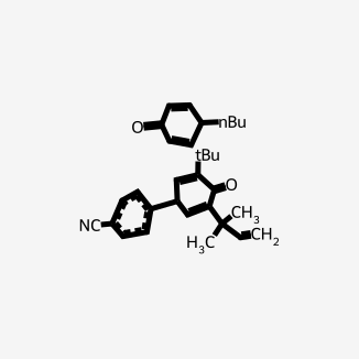 C=CC(C)(C)C1=CC(c2ccc(C#N)cc2)C=C(C(C)(C)C)C1=O.CCCCC1C=CC(=O)C=C1